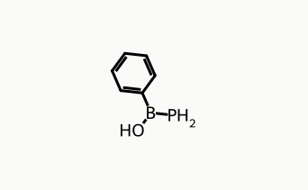 OB(P)c1ccccc1